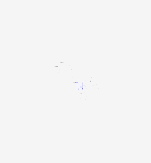 c1ccc2c(N(c3ccc(-c4ccc5ccc6ccccc6c5c4)cc3)c3cc4ccccc4c4ccccc34)cccc2c1